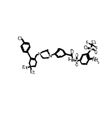 CCC1(CC)CCC(CN2CCN(c3ccc(C(=O)NS(=O)(=O)c4ccc(N)c(S(=O)(=O)C(F)(F)Cl)c4)cc3)CC2)=C(c2ccc(Cl)cc2)C1